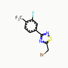 Fc1cc(-c2nsc(CBr)n2)ccc1C(F)(F)F